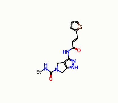 CCNC(=O)N1Cc2[nH]nc(NC(=O)C=Cc3cccs3)c2C1